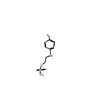 CS(=O)(=O)OCCNc1ccc(Br)cc1